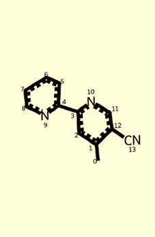 Cc1cc(-c2ccccn2)ncc1C#N